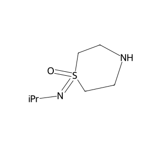 CC(C)N=S1(=O)CCNCC1